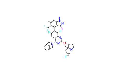 Cc1cc2[nH]nc(I)c2c(-c2c(F)cc3c(N4CC5CCC(C5)C4)nc(OC[C@@]45CCCN4C[C@H](F)C5)nc3c2F)c1C(F)F